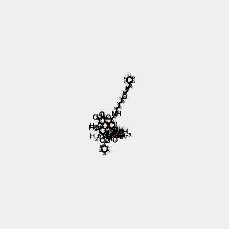 CC(C)C(C(=O)OCC(=O)[C@@]12O[C@H](C3CCCCC3)O[C@H]1CC1C3CCC4=CC(=O)C=C[C@]4(C)C3[C@@H](O)C[C@@]12C)[N+](C)(C)Cc1cc(C(O)CNCCCCCCOCCCCc2ccccc2)ccc1OP(=O)(O)O.[Cl-]